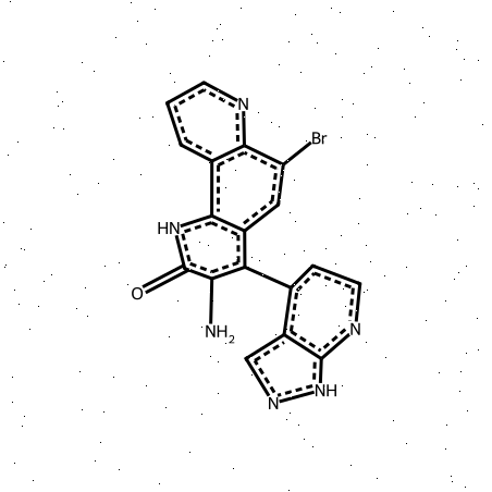 Nc1c(-c2ccnc3[nH]ncc23)c2cc(Br)c3ncccc3c2[nH]c1=O